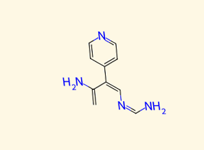 C=C(N)/C(=C\N=C/N)c1ccncc1